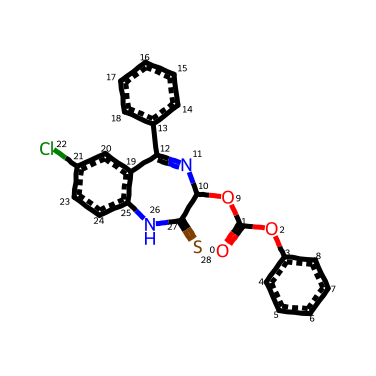 O=C(Oc1ccccc1)OC1N=C(c2ccccc2)c2cc(Cl)ccc2NC1=S